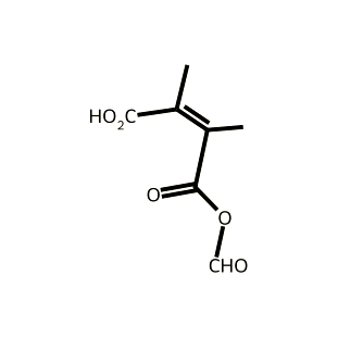 C/C(C(=O)O)=C(\C)C(=O)OC=O